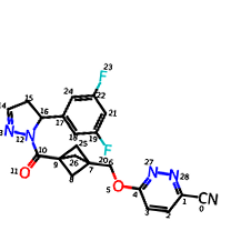 N#Cc1ccc(OCC23CC(C(=O)N4N=CCC4c4cc(F)cc(F)c4)(C2)C3)nn1